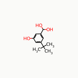 CC(C)(C)c1cc(O)cc(C(O)O)c1